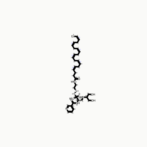 CC/C=C\C/C=C\C/C=C\C/C=C\C/C=C\C/C=C\CCC(=O)NCCSSC(C)(C)[C@@H](CNC(CO)CO)NC(=O)c1cccnc1